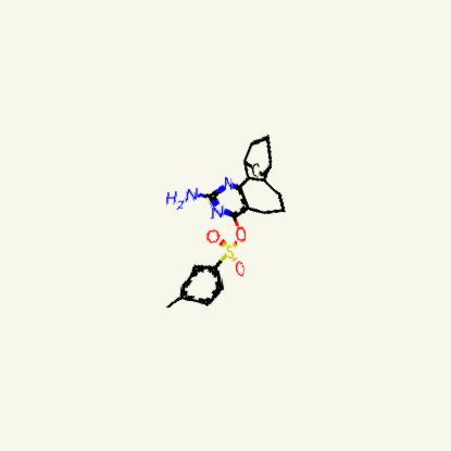 Cc1ccc(S(=O)(=O)Oc2nc(N)nc3c2CCCC2C4CCC(CC4)C32)cc1